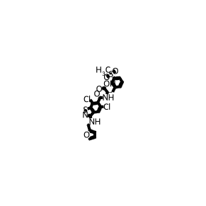 CS(=O)(=O)c1cccc(C[C@H](NC(=O)c2c(Cl)cc3c(NCc4ccco4)nsc3c2Cl)C(=O)O)c1